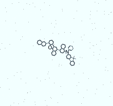 CC1(C)c2ccccc2-c2ccc(N(C3=CCCC=C3)c3ccc(-c4cc5c6cccc(-c7ccc8ccccc8c7)c6oc5c5ccccc45)c4ccccc34)cc21